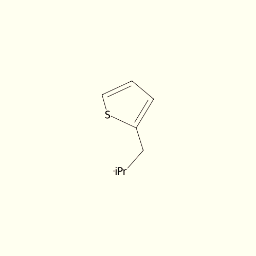 C[C](C)Cc1cccs1